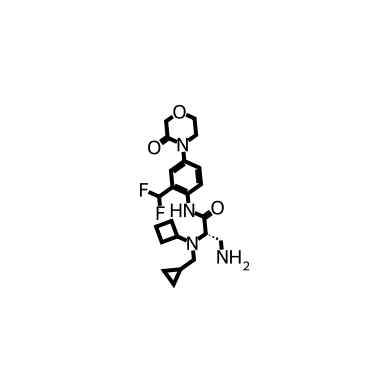 NC[C@@H](C(=O)Nc1ccc(N2CCOCC2=O)cc1C(F)F)N(CC1CC1)C1CCC1